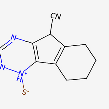 N#CC1C2=C(CCCC2)C2=C1N=CN[NH+]2[S-]